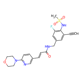 C#Cc1cc(CNC(=O)C=Cc2ccc(N3CCOCC3)nc2)cc(F)c1NS(C)(=O)=O